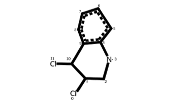 ClC1C[N]c2ccccc2C1Cl